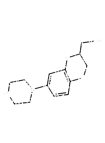 OCC1COc2ccc(N3CCNCC3)cc2O1